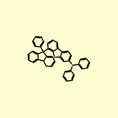 C1=CCC2C(=C1)C(c1ccccc1)(c1cccc3c1sc1cc(N(c4ccccc4)c4ccccc4)ccc13)c1ccccc12